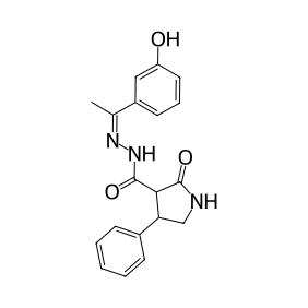 C/C(=N/NC(=O)C1C(=O)NCC1c1ccccc1)c1cccc(O)c1